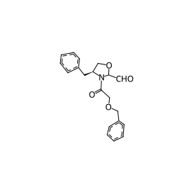 O=CC1OC[C@H](Cc2ccccc2)N1C(=O)COCc1ccccc1